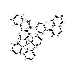 c1ccc2c(c1)-c1ccccc1C21c2ccccc2-c2cc3c(cc21)c(-c1ccc(-c2cccc4ccccc24)cc1)nc1ccccc13